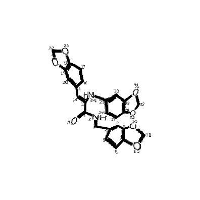 O=C(NCc1ccc2c(c1)OCO2)C(=Cc1ccc2c(c1)OCO2)Nc1ccc2c(c1)OCO2